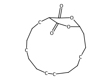 O=C1OC2CCCCCCCCCCCCCC1C(=O)O2